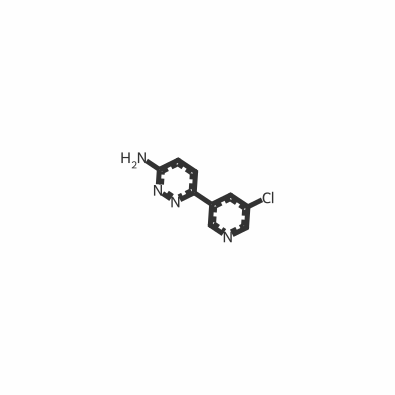 Nc1ccc(-c2cncc(Cl)c2)nn1